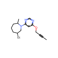 CC#CCOc1cc(N2CC(CC)CCCC2C)ncn1